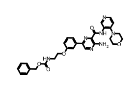 Nc1ncc(-c2cccc(OCCNC(=O)OCc3ccccc3)c2)nc1C(=O)Nc1cnccc1N1CCOCC1